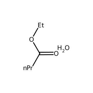 CCCC(=O)OCC.O